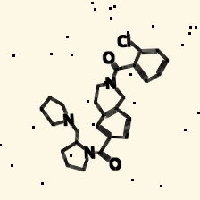 O=C(c1ccccc1Cl)N1CCc2cc(C(=O)N3CCCC3CN3CCCC3)ccc2C1